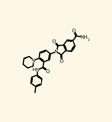 Cc1ccc(NC(=O)c2cc(N3C(=O)c4ccc(C(N)=O)cc4C3=O)ccc2N2CCCCC2)cc1